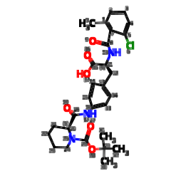 Cc1cccc(Cl)c1C(=O)N[C@@H](Cc1ccc(NC(=O)[C@@H]2CCCCN2C(=O)OC(C)(C)C)cc1)C(=O)O